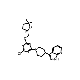 CC1(C)CC[C@H](COc2nc(Cl)nc(N3CCC(c4n[nH]c5ncccc45)CC3)n2)O1